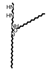 CCCCCCCCCCCCCCCCOCC(CNCCCCNCCCNCC)OCCCCCCCCCCCCCCCC